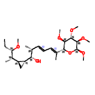 CC[C@H](OC)[C@@H](C)[C@@H]1C[C@H]1[C@@H](O)[C@H](C)/C=C/C=C(\C)[C@H]1O[C@H](OC)[C@H](OC)[C@@H](OC)[C@@H]1OC